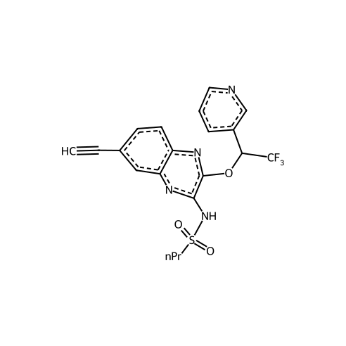 C#Cc1ccc2nc(OC(c3cccnc3)C(F)(F)F)c(NS(=O)(=O)CCC)nc2c1